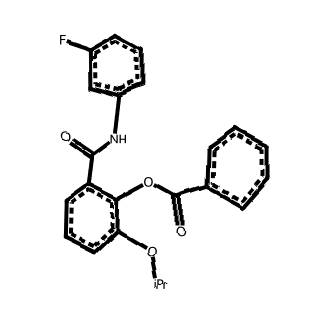 CC(C)Oc1cccc(C(=O)Nc2cccc(F)c2)c1OC(=O)c1ccccc1